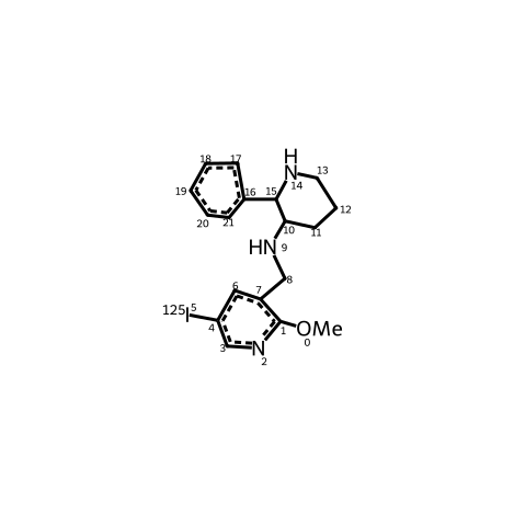 COc1ncc([125I])cc1CNC1CCCNC1c1ccccc1